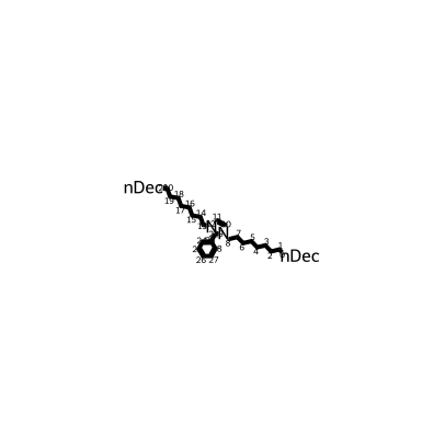 CCCCCCCCCCCCCCCCCCN1C=CN(CCCCCCCCCCCCCCCCCC)C1c1ccccc1